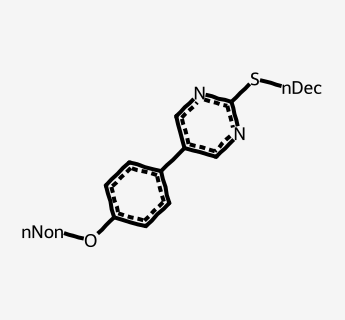 CCCCCCCCCCSc1ncc(-c2ccc(OCCCCCCCCC)cc2)cn1